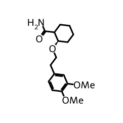 COc1ccc(CCO[C@@H]2CCCCC2C(N)=O)cc1OC